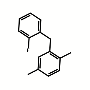 Cc1ccc(I)cc1[CH]c1ccccc1F